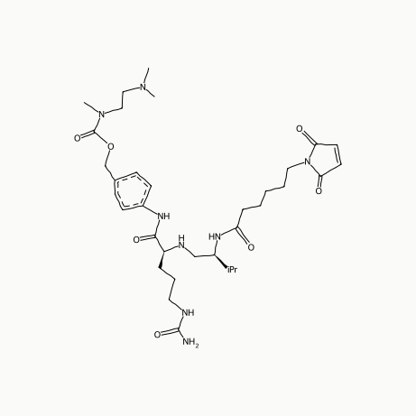 CC(C)[C@@H](CN[C@@H](CCCNC(N)=O)C(=O)Nc1ccc(COC(=O)N(C)CCN(C)C)cc1)NC(=O)CCCCCN1C(=O)C=CC1=O